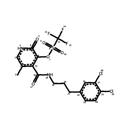 Cc1c[nH]c(=O)c(OS(=O)(=O)C(F)(F)F)c1C(=O)NCCCc1ccc(Cl)c(Cl)c1